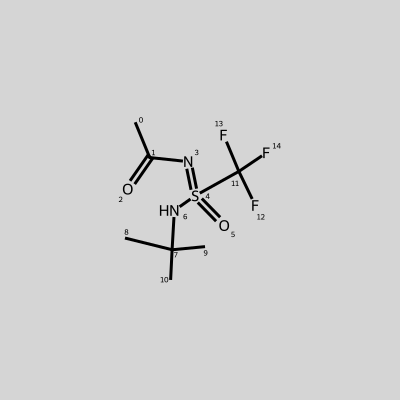 CC(=O)N=S(=O)(NC(C)(C)C)C(F)(F)F